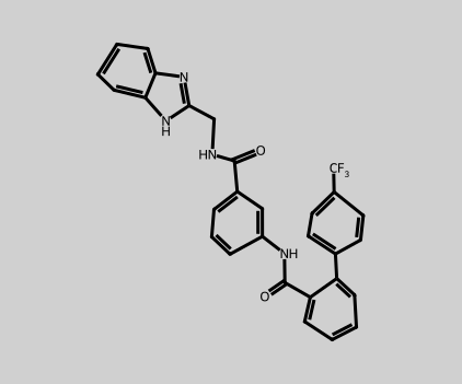 O=C(NCc1nc2ccccc2[nH]1)c1cccc(NC(=O)c2ccccc2-c2ccc(C(F)(F)F)cc2)c1